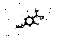 COc1ccc(C(C#N)C(C)=O)c(C)c1